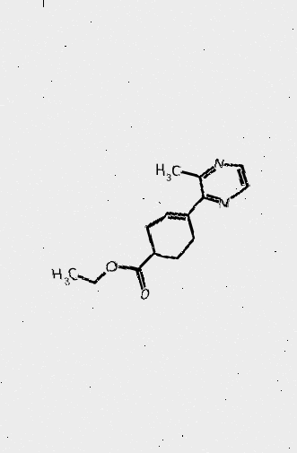 CCOC(=O)C1CC=C(c2nccnc2C)CC1